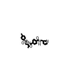 Cc1ccc(S(=O)(=O)Cc2nc(-c3ccc(C(=O)NCc4cccnc4)cc3)oc2C)cc1